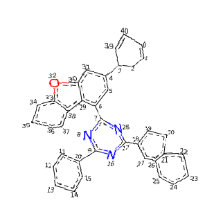 C1=CCC(c2cc(-c3nc(-c4ccccc4)nc(-c4ccc5ccccc5c4)n3)c3c(c2)oc2ccccc23)C=C1